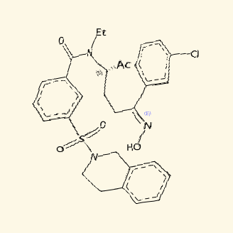 CCN(C(=O)c1cccc(S(=O)(=O)N2CCc3ccccc3C2)c1)[C@@H](CC/C(=N\O)c1cccc(Cl)c1)C(C)=O